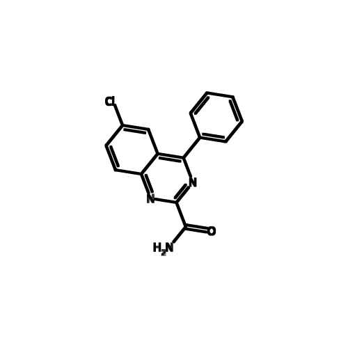 NC(=O)c1nc(-c2ccccc2)c2cc(Cl)ccc2n1